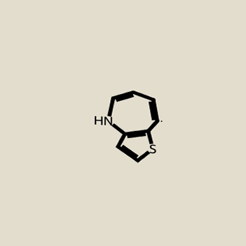 [C]1=CC=CNc2ccsc21